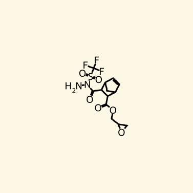 NN(C(=O)C1C2C=CC(C2)C1C(=O)OCC1CO1)S(=O)(=O)C(F)(F)F